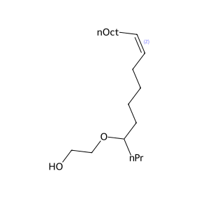 CCCCCCCC/C=C\CCCCC(CCC)OCCO